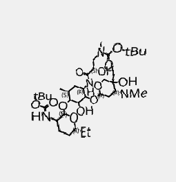 CC[C@@H]1CCC(NC(=O)OC(C)(C)C)[C@@H](OC2C(O)C(O[C@@H]3C[C@@H](NC)C(C)(O)CO3)[C@H](NC(=O)[C@@H](O)CN(C)C(=O)OC(C)(C)C)C[C@@H]2C)O1